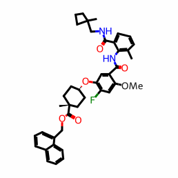 COc1cc(F)c(O[C@H]2CC[C@@](C)(C(=O)OCc3cccc4ccccc34)CC2)cc1C(=O)Nc1c(C)cccc1C(=O)NCC1(C)CCC1